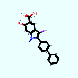 Cn1c(-c2ccc(-c3ccccc3)cc2)c(I)c2cc(C(=O)O)c(O)cc21